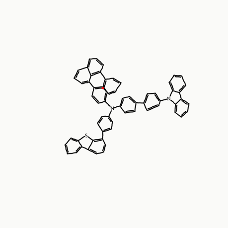 c1ccc(-c2cccc3cccc(-c4ccc(N(c5ccc(-c6ccc(-n7c8ccccc8c8ccccc87)cc6)cc5)c5ccc(-c6cccc7c6sc6ccccc67)cc5)cc4)c23)cc1